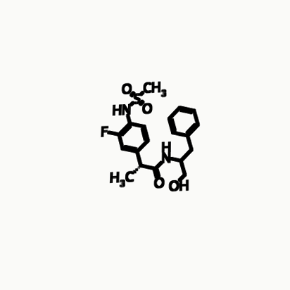 C[C@@H](C(=O)NC(CO)Cc1ccccc1)c1ccc(NS(C)(=O)=O)c(F)c1